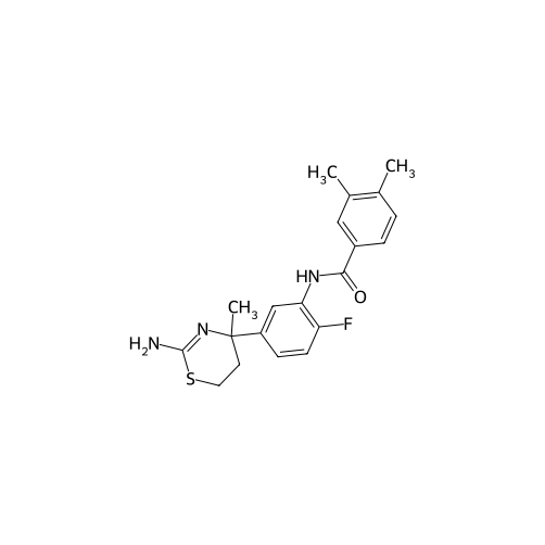 Cc1ccc(C(=O)Nc2cc(C3(C)CCSC(N)=N3)ccc2F)cc1C